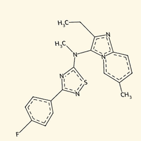 CCc1nc2ccc(C)cn2c1N(C)c1nc(-c2ccc(F)cc2)ns1